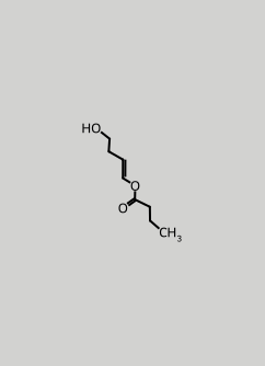 CCCC(=O)OC=CCCO